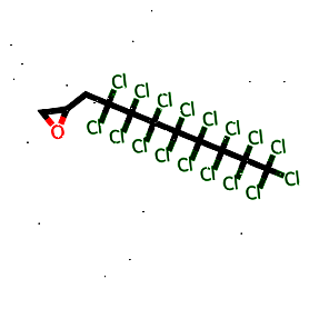 ClC(Cl)(Cl)C(Cl)(Cl)C(Cl)(Cl)C(Cl)(Cl)C(Cl)(Cl)C(Cl)(Cl)C(Cl)(Cl)C(Cl)(Cl)CC1CO1